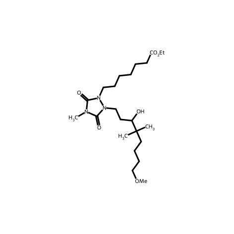 CCOC(=O)CCCCCCn1c(=O)n(C)c(=O)n1CCC(O)C(C)(C)CCCCOC